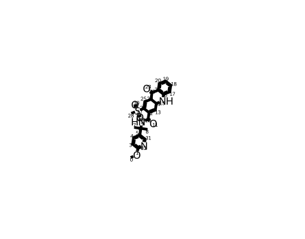 COc1ccc(C(C)(C)NC(=O)C2=CC3Nc4ccccc4C(=O)C3C=C2S(C)(=O)=O)cn1